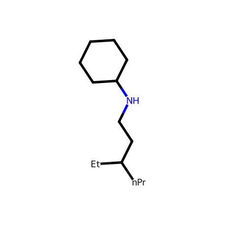 CCCC(CC)CCNC1CCCCC1